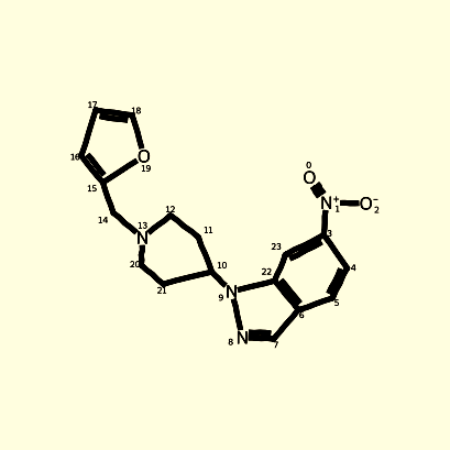 O=[N+]([O-])c1ccc2cnn(C3CCN(Cc4ccco4)CC3)c2c1